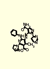 COC(=O)c1c(N2CCCC2)nc(Nc2ccccc2)c(/N=N/c2c(C(N)=O)cnn2-c2ccncn2)c1C